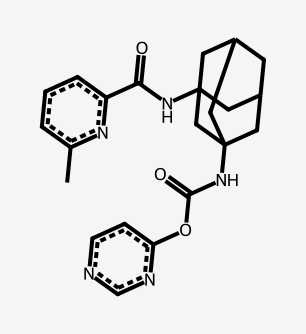 Cc1cccc(C(=O)NC23CC4CC(CC(NC(=O)Oc5ccncn5)(C4)C2)C3)n1